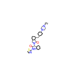 CC(C)N1CCN(c2ccc(Cc3cccc4c3C(=O)N(C(C(=O)Nc3nccs3)c3ccccc3)C4)cc2)CC1